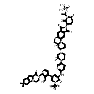 [2H]C([2H])([2H])n1cc(-c2ccnc(N3CCn4c(cc5c4CC(C)(C)C5)C3=O)c2CO)cc(Nc2ccc(N3CCN([C@H]4CCN5c6cc7c(cc6OC[C@H]5C4)C(=O)N([C@H]4CCC(=O)N(C(C)OP(=O)(O)O)C4=O)C7=O)C[C@@H]3C)cn2)c1=O